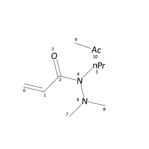 C=CC(=O)N(CCC)N(C)C.CC(C)=O